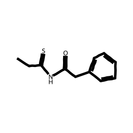 CCC(=S)NC(=O)Cc1ccccc1